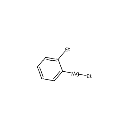 C[CH2][Mg][c]1ccccc1CC